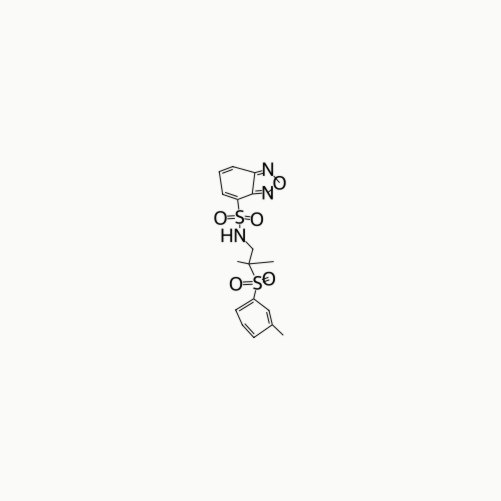 Cc1cccc(S(=O)(=O)C(C)(C)CNS(=O)(=O)c2cccc3nonc23)c1